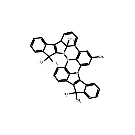 Cc1cc2c3c(c1)-n1c4c(c5cccc(c51)B3N1C3=C(c5ccccc5C3(C)C)C3C=CC=C2C31C)C(C)(C)c1ccccc1-4